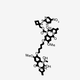 C=C1C[C@H]2[C@H](O)N(B(C)O)c3cc(OCCCCCOc4cc5c(cc4OC)C(=O)N4CC(=C)C[C@H]4[C@H](O)N5C(=O)OCC4(SSc5ccc([N+](=O)[O-])cn5)CCC4)c(OC)cc3C(=O)N2C1